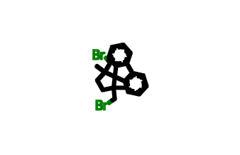 CC1(CBr)CCC(C)(CBr)C12c1ccccc1-c1ccccc12